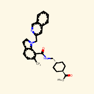 COC(=O)[C@H]1CC[C@H](CNC(=O)c2c(C(F)(F)F)ccc3ccn(Cc4cc5ccccc5cn4)c23)CC1